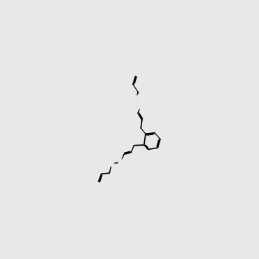 C=CCOOC=CCc1ccccc1CC=COOCC=C